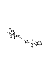 O=C(NCCCCCCNC(=O)n1ccc(=O)n(F)c1=O)Nc1nc2ccccc2s1